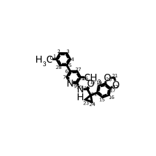 Cc1cccc(-c2cnc(NC(=O)C3(c4ccc5c(c4)OCO5)CC3)c(C)c2)c1